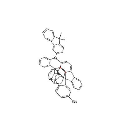 CC(C)(C)c1ccc2c(c1)C1(c3ccccc3-c3ccc(N(c4ccc5c(c4)-c4ccccc4C5(C)C)c4ccccc4C4CC5CC6CC(C5)CC4C6)cc31)c1ccccc1-2